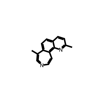 CC1=C=NC=Cc2c1ccc1ccc(C)nc21